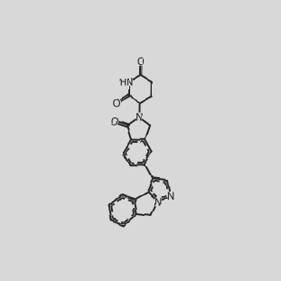 O=C1CCC(N2Cc3cc(-c4cnn5c4-c4ccccc4C5)ccc3C2=O)C(=O)N1